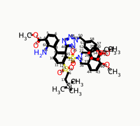 COC(=O)c1cccc(-c2ccc(S(=O)(=O)CC[Si](C)(C)C)c(S(=O)(=O)N(Cc3ccc(OC)cc3)Cc3ccc(OC)cc3)c2-c2nnn(Cc3ccc(OC)cc3)n2)c1N